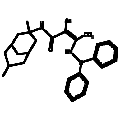 CC(=O)/C(C(=O)NC1(C)CC2CC(C)CC(C2)C1)=C(/NB(c1ccccc1)c1ccccc1)C(Cl)(Cl)Cl